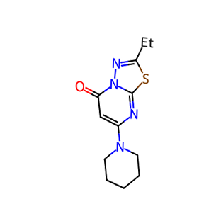 CCc1nn2c(=O)cc(N3CCCCC3)nc2s1